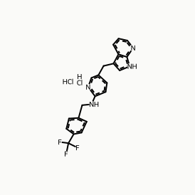 Cl.Cl.FC(F)(F)c1ccc(CNc2ccc(Cc3c[nH]c4ncccc34)cn2)cc1